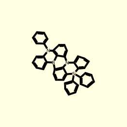 c1ccc(N2c3ccccc3B3c4cccc5c4N(c4ccccc4[Si]5(c4ccccc4)c4ccccc4)c4cccc2c43)cc1